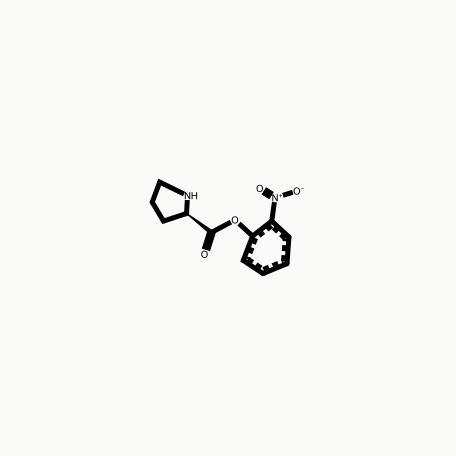 O=C(Oc1ccccc1[N+](=O)[O-])[C@H]1CCCN1